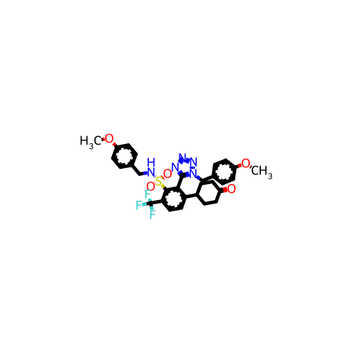 COc1ccc(CNS(=O)(=O)c2c(C(F)(F)F)ccc(C3CCC(=O)CC3)c2-c2nnnn2Cc2ccc(OC)cc2)cc1